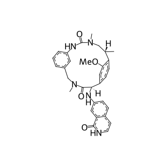 COc1cc2ccc1[C@@H](C)CN(C)C(=O)Nc1cccc(c1)CN(C)C(=O)[C@@H]2Nc1ccc2cc[nH]c(=O)c2c1